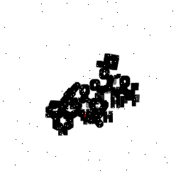 CC#Cc1csc2cncc(C(C#N)NC(=O)[C@@H]3[C@@H]4[C@H](CN3C(=O)[C@@H](NC(=O)C(F)(F)F)[C@@H](C)OC3(C)CCC3)C4(C)C)c12